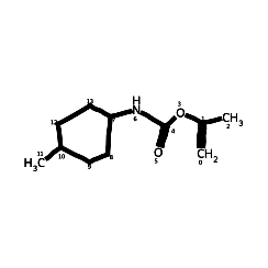 C=C(C)OC(=O)NC1CCC(C)CC1